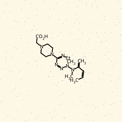 C=C(/C=C\C)N(C)N(C)/N=N\C(=N/CC)N1CCN(CC(=O)O)CC1